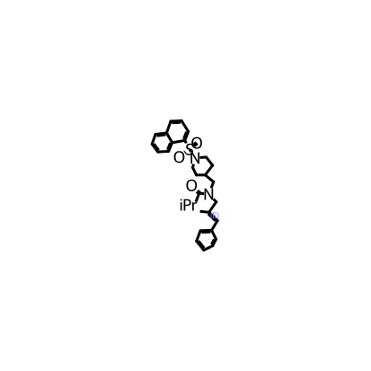 C/C(=C\c1ccccc1)CN(CC1CCN(S(=O)(=O)c2cccc3ccccc23)CC1)C(=O)C(C)C